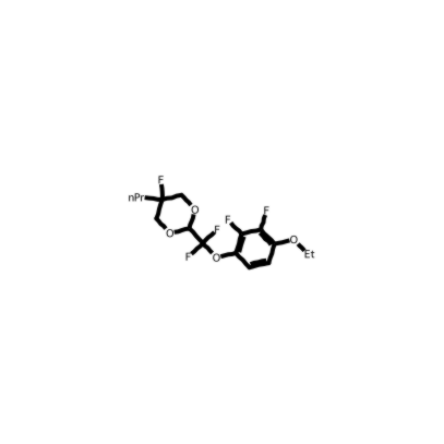 CCCC1(F)COC(C(F)(F)Oc2ccc(OCC)c(F)c2F)OC1